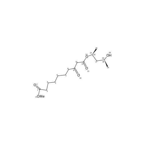 COC(=O)CCCCCCC(=O)CC(=O)O[C@@H](C)C[C@H](C)O